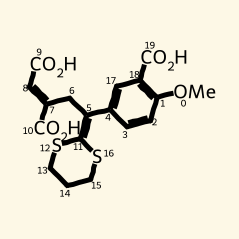 COc1ccc(C(C/C(=C\C(=O)O)C(=O)O)=C2SCCCS2)cc1C(=O)O